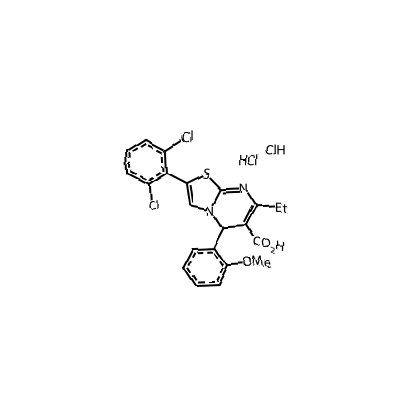 CCC1=C(C(=O)O)C(c2ccccc2OC)N2C=C(c3c(Cl)cccc3Cl)SC2=N1.Cl.Cl